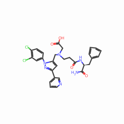 NC(=O)[C@H](Cc1ccccc1)NC(=O)CCN(CC(=O)O)Cc1cc(-c2cccnc2)nn1-c1ccc(Cl)c(Cl)c1